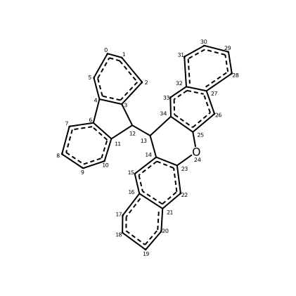 c1ccc2c(c1)-c1ccccc1C2C1c2cc3ccccc3cc2Oc2cc3ccccc3cc21